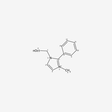 CCCCCCCCCn1cc[n+](C)c1-c1ccccc1